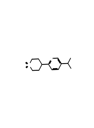 CC(C)c1ccc(C2CCS(=O)(=O)CC2)nc1